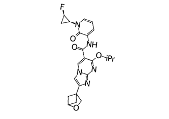 CC(C)Oc1nc2nc(C34COC(C3)C4)cn2cc1C(=O)Nc1cccn([C@H]2C[C@H]2F)c1=O